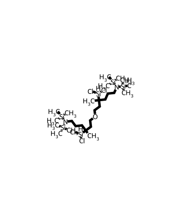 CC(CCCN([Si](C)(C)C)[Si](C)(C)C)(CCOCCC(C)(CCCN([Si](C)(C)C)[Si](C)(C)C)[SiH](Cl)Cl)[SiH](Cl)Cl